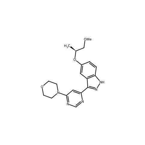 COC[C@H](C)Oc1ccc2[nH]nc(-c3cc(N4CCOCC4)ncn3)c2c1